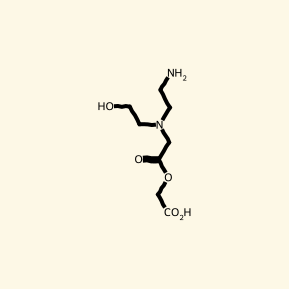 NCCN(CCO)CC(=O)OCC(=O)O